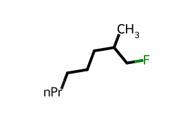 CCCCCCC(C)CF